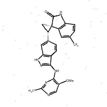 COc1cnc(C)nc1Nc1n[nH]c2cc([C@@H]3C[C@@]34C(=O)Nc3ccc(C(F)(F)F)cc34)ccc12